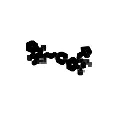 CNC1=C(NCCCN2CCN(c3ccc([N+](=O)[O-])c(N(N)CC4CCCO4)c3)CC2)C(=O)c2ccccc2C1=O